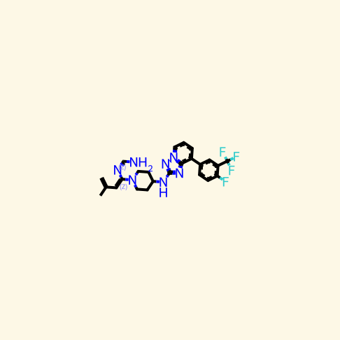 C=C(C)/C=C(\N=C/N)N1CCC(Nc2nc3c(-c4ccc(F)c(C(F)(F)F)c4)cccn3n2)CC1